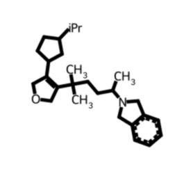 CC(C)C1CCC(C2=C(C(C)(C)CCC(C)N3Cc4ccccc4C3)COC2)C1